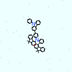 CC1(C)c2ccccc2-c2c(-c3ccccc3N(c3ccc(-c4ccc5c(c4)c4ccccc4n5-c4ccccc4)cc3)c3cccc4c3-c3ccccc3C4(C)C)cccc21